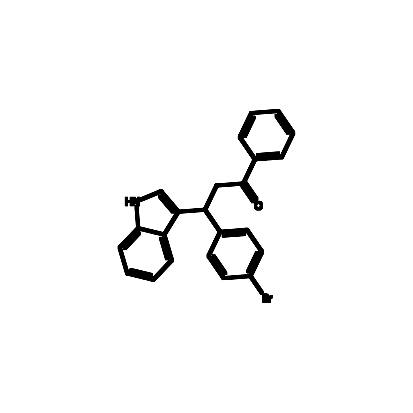 O=C(CC(c1ccc(Br)cc1)c1c[nH]c2ccccc12)c1ccccc1